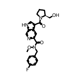 CON(Cc1ccc(F)cc1)C(=O)c1cc2c(C(=O)N3CCC[C@H]3CO)c[nH]c2cn1